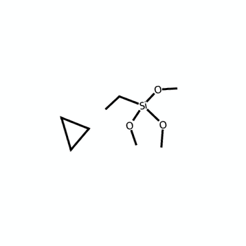 C1CC1.CC[Si](OC)(OC)OC